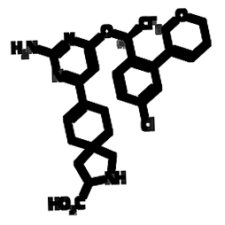 Nc1nc(O[C@H](c2ccc(Cl)cc2C2=CCCOC2)C(F)(F)F)cc(C2=CCC3(CC2)CNC(C(=O)O)C3)n1